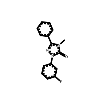 Cn1c(-c2ccccc2)nn(-c2cccc(F)c2)c1=O